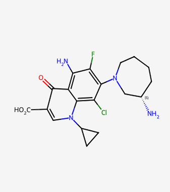 Nc1c(F)c(N2CCCC[C@H](N)C2)c(Cl)c2c1c(=O)c(C(=O)O)cn2C1CC1